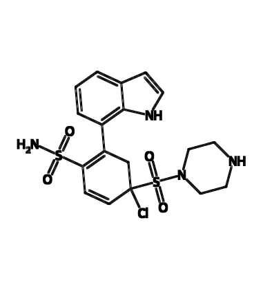 NS(=O)(=O)C1=C(c2cccc3cc[nH]c23)CC(Cl)(S(=O)(=O)N2CCNCC2)C=C1